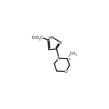 CCOC(=O)c1cc(N2CCOC[C@H]2C)n[nH]1